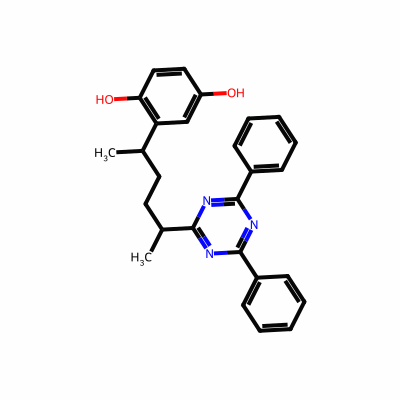 CC(CCC(C)c1cc(O)ccc1O)c1nc(-c2ccccc2)nc(-c2ccccc2)n1